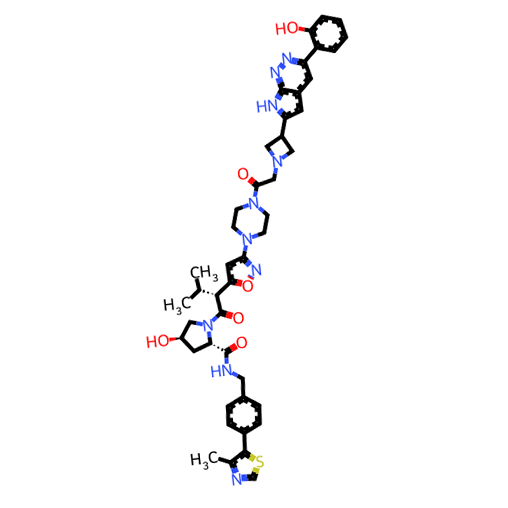 Cc1ncsc1-c1ccc(CNC(=O)[C@@H]2C[C@@H](O)CN2C(=O)[C@@H](c2cc(N3CCN(C(=O)CN4CC(c5cc6cc(-c7ccccc7O)nnc6[nH]5)C4)CC3)no2)C(C)C)cc1